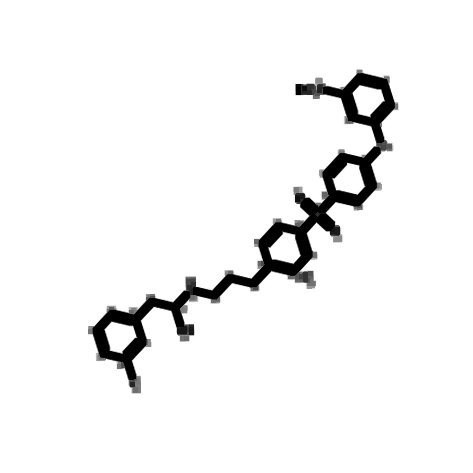 CCOC(=O)c1cccc(Oc2ccc(S(=O)(=O)c3ccc(CCCNC(O)Cc4cccc(Cl)c4)cc3)cc2)c1.Cl